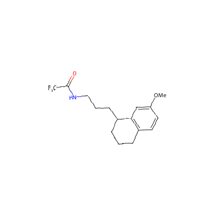 COc1ccc2c(c1)C(CCCNC(=O)C(F)(F)F)CCC2